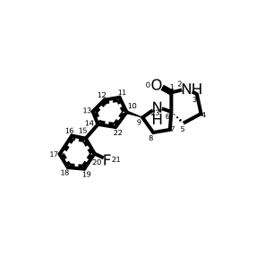 O=C1NCCC[C@@]12CC[C@@H](c1cccc(-c3ccccc3F)c1)N2